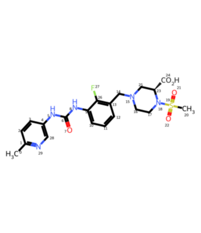 Cc1ccc(NC(=O)Nc2cccc(CN3CCN(S(C)(=O)=O)[C@H](C(=O)O)C3)c2F)cn1